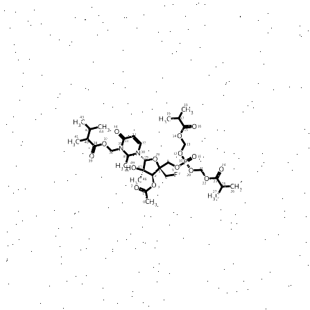 CC(=O)O[C@@H]1[C@@](CF)(COP(=O)(OCOC(=O)C(C)C)OCOC(=O)C(C)C)O[C@@H](N2C=CC(=O)N(COC(=O)C(C)C(C)C)C2C)[C@]1(C)O